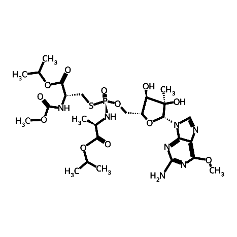 COC(=O)N[C@@H](CS[P@@](=O)(N[C@H](C)C(=O)OC(C)C)OC[C@H]1O[C@@H](n2cnc3c(OC)nc(N)nc32)[C@](C)(O)[C@@H]1O)C(=O)OC(C)C